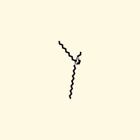 CCCCCCCCCCCCCC[n+]1ccn(CCC)c1CCCCCCCCCC